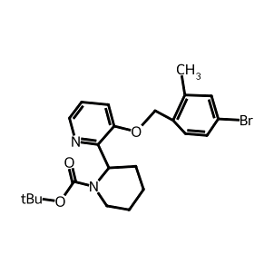 Cc1cc(Br)ccc1COc1cccnc1C1CCCCN1C(=O)OC(C)(C)C